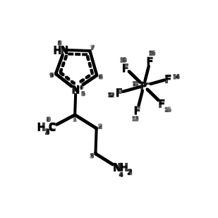 CC(CCN)[n+]1cc[nH]c1.F[P-](F)(F)(F)(F)F